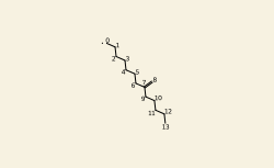 [CH2]CCCCCCC(=C)CCCCC